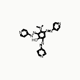 CN(C)c1c(/N=N/c2ccncc2)cc(/N=N/c2ccncc2)c(O)c1/N=N/c1ccncc1